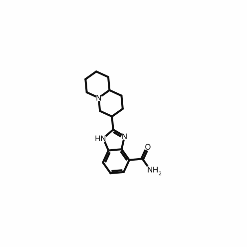 NC(=O)c1cccc2[nH]c(C3CCC4CCCCN4C3)nc12